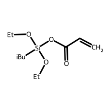 C=CC(=O)O[Si](OCC)(OCC)C(C)CC